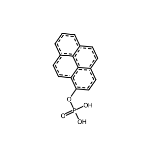 O=P(O)(O)Oc1ccc2ccc3cccc4ccc1c2c34